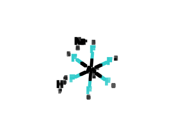 F[As-](F)(F)(F)(F)F.[H+].[Na]